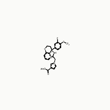 COC(=O)c1ccn(CC(=O)N[C@]2(c3ccc(OC(F)(F)F)c(F)c3)CCOc3cccnc32)c1